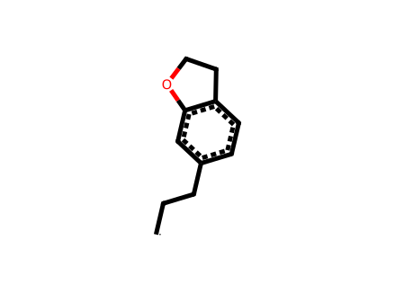 [CH2]CCc1ccc2c(c1)OCC2